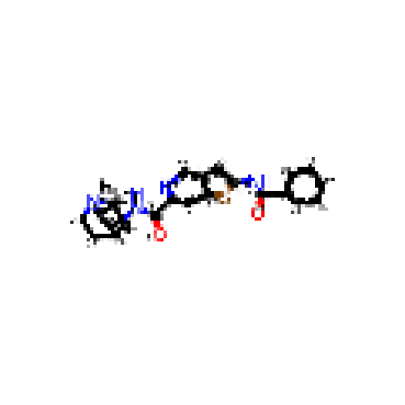 C[C@H]1[C@H](NC(=O)c2cc3sc(NC(=O)c4ccccc4)cc3cn2)C2CCN1CC2